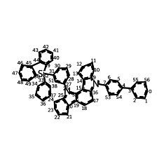 c1ccc(-c2ccc(-n3c4ccccc4c4c3ccc3c5ccccc5n(-c5cccc([Si]6(c7ccccc7)c7ccccc7-c7ccccc76)c5)c34)cc2)cc1